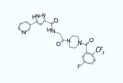 O=C(NCC(=O)N1CCN(C(=O)c2cc(F)ccc2C(F)(F)F)CC1)c1cc(-c2cccnc2)[nH]n1